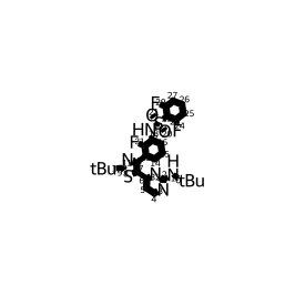 CC(C)(C)Nc1nccc(-c2sc(C(C)(C)C)nc2-c2cccc(NS(=O)(=O)c3c(F)cccc3F)c2F)n1